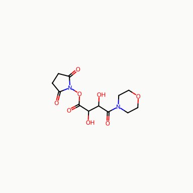 O=C(ON1C(=O)CCC1=O)C(O)C(O)C(=O)N1CCOCC1